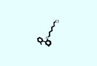 Cc1ccccc1-c1ccccc1OCCCCCCCl